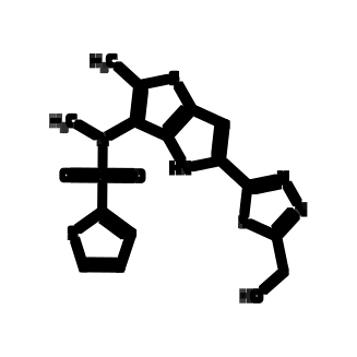 Cc1sc2cc(-c3nnc(CO)s3)[nH]c2c1N(C)S(=O)(=O)c1cccs1